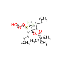 CCCCC(CCCC)(OC(=O)C(C)(C)C)C(F)(F)SOOO